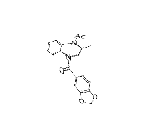 CC(=O)N1c2ccccc2N(C(=O)c2ccc3c(c2)OCO3)CC1C